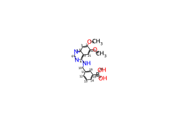 COc1cc2ncnc(NCc3cccc(B(O)O)c3)c2cc1OC